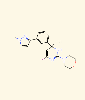 COC1(c2cccc(-c3ccn(C)n3)c2)C=C(I)N=C(N2CCOCC2)N1